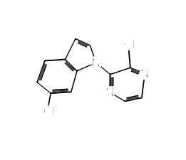 FC(F)(F)c1ccc2ccn(-c3nccnc3Cl)c2c1